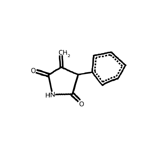 C=C1C(=O)NC(=O)C1c1ccccc1